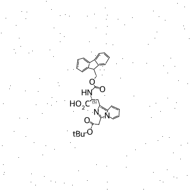 CC(C)(C)OC(=O)Cc1nc(C[C@H](NC(=O)OCC2c3ccccc3-c3ccccc32)C(=O)O)c2ccccn12